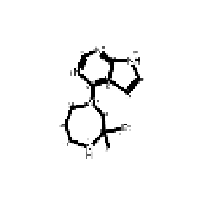 CCC1(C)CN(c2ncnc3[nH]ccc23)CCCN1